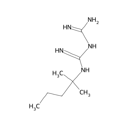 CCCC(C)(C)NC(=N)NC(=N)N